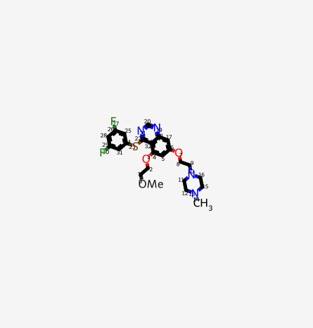 COCCOc1cc(OCCN2CCN(C)CC2)cc2ncnc(Sc3cc(F)cc(F)c3)c12